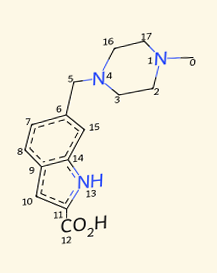 CN1CCN(Cc2ccc3cc(C(=O)O)[nH]c3c2)CC1